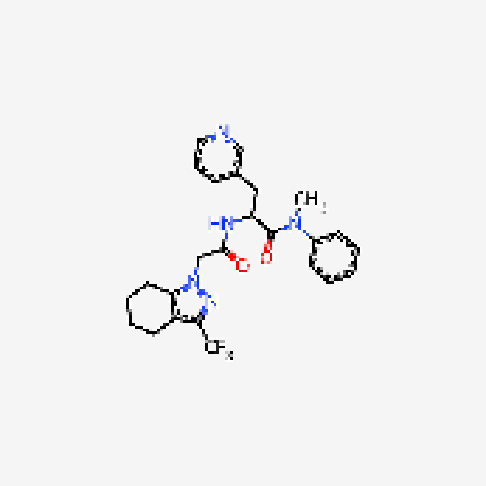 CN(C(=O)C(Cc1cccnc1)NC(=O)Cn1nc(C(F)(F)F)c2c1CCCC2)c1ccccc1